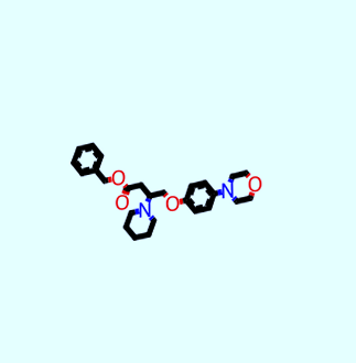 O=C(CC(COc1ccc(N2CCOCC2)cc1)N1CCCCC1)OCc1ccccc1